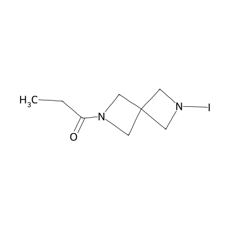 CCC(=O)N1CC2(CN(I)C2)C1